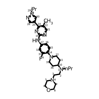 CCCN(CCN1CCOCC1)C1CCN(c2ccc(Nc3ncc(C)c(-c4cnn(C(C)C)c4)n3)cc2F)CC1